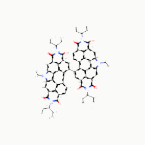 CCC(CC)n1c(=O)c2ccc3c4c(-c5cc6c(=O)n(C(CC)CC)c(=O)c7cc8c9c(c5c5ccc%10c(=O)n(C(CC)CC)c(=O)c%11cc(c9c5c%10%11)n8CC)c67)cc5c(=O)n(C(CC)CC)c(=O)c6cc7c(c4c56)c4c3c2c(cc4n7CC)c1=O